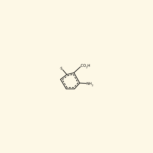 Nc1cccc([S])c1C(=O)O